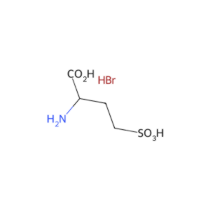 Br.NC(CCS(=O)(=O)O)C(=O)O